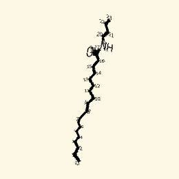 CCCCCCCCCCCCCCCCCC(=O)NCCCC